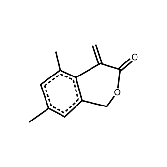 C=C1C(=O)OCc2cc(C)cc(C)c21